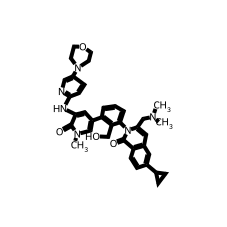 CN(C)Cc1cc2cc(C3CC3)ccc2c(=O)n1-c1cccc(-c2cc(Nc3ccc(N4CCOCC4)cn3)c(=O)n(C)c2)c1CO